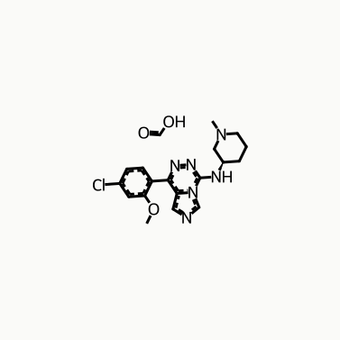 COc1cc(Cl)ccc1-c1nnc(N[C@@H]2CCCN(C)C2)n2cncc12.O=CO